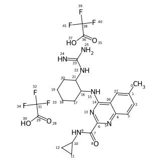 Cc1ccc2nc(C(=O)NC3CC3)nc(NC3CCCCC3NC(=N)N)c2c1.O=C(O)C(F)(F)F.O=C(O)C(F)(F)F